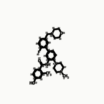 CN1CCN(c2ccc(-c3cc(CN4CCOCC4)ccc3F)cc2NC(=O)c2ccc(O)cc2C(F)(F)F)CC1